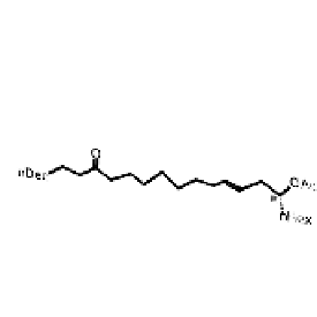 CCCCCCCCCCCCC(=O)CCCCCCCC=CC[C@@H](CCCCCC)OC(C)=O